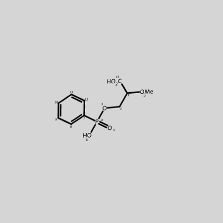 COC(COP(=O)(O)c1ccccc1)C(=O)O